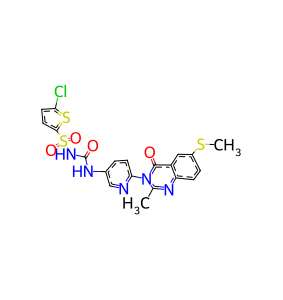 CSc1ccc2nc(C)n(-c3ccc(NC(=O)NS(=O)(=O)c4ccc(Cl)s4)cn3)c(=O)c2c1